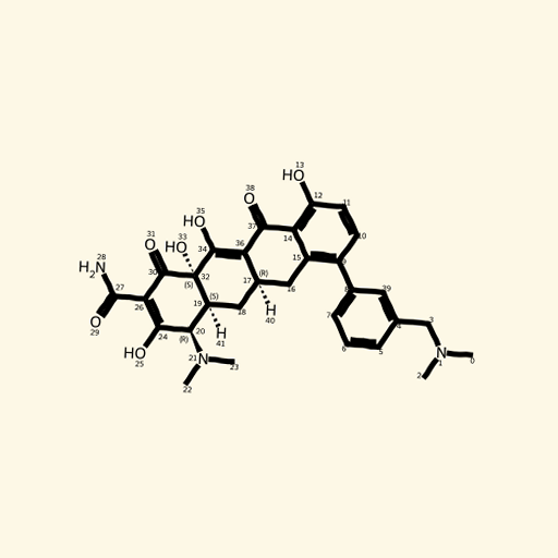 CN(C)Cc1cccc(-c2ccc(O)c3c2C[C@H]2C[C@H]4[C@@H](N(C)C)C(O)=C(C(N)=O)C(=O)[C@@]4(O)C(O)=C2C3=O)c1